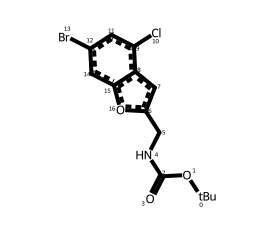 CC(C)(C)OC(=O)NCc1cc2c(Cl)cc(Br)cc2o1